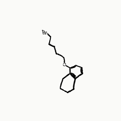 BrCCCCCOc1cccc2c1CCCC2